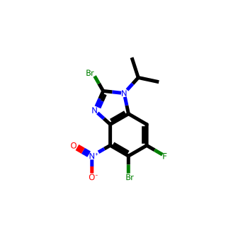 CC(C)n1c(Br)nc2c([N+](=O)[O-])c(Br)c(F)cc21